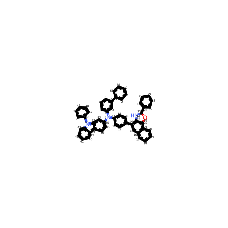 c1ccc(-c2cccc(N(c3ccc(-c4cc5ccccc5c5c4NC(c4ccccc4)O5)cc3)c3ccc4c5ccccc5n(-c5ccccc5)c4c3)c2)cc1